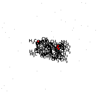 CC(C)C[C@@H](CNC(=O)N[C@@H](C)C(=O)N[C@@H](CC(C)C)C(=O)N[C@@H](C)C(=O)N[C@@H](CC(C)C)C(=O)N[C@@H](C)C(=O)N[C@@H](CC(C)C)C(=O)N[C@@H](C)C(N)=O)NC(=O)NC[C@H](C)NC(=O)NC[C@@H](NC(=O)NC[C@H](CC(C)C)NC(=O)NC[C@H](C)NC(=O)NC[C@@H](NC(=O)OC(C)(C)C)C(C)C)C(C)C